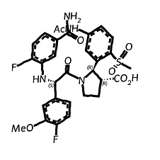 COc1cc([C@H](Nc2cc(C(N)=O)ccc2F)C(=O)N2CC[C@@H](C(=O)O)[C@@H]2c2cc(NC(C)=O)ccc2S(C)(=O)=O)ccc1F